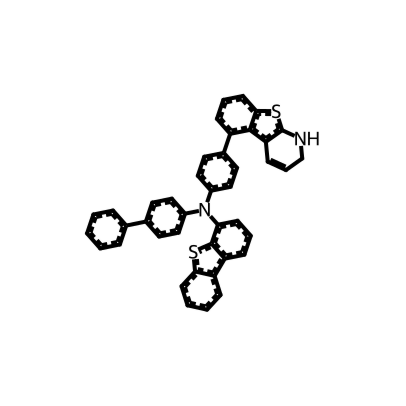 C1=Cc2c(sc3cccc(-c4ccc(N(c5ccc(-c6ccccc6)cc5)c5cccc6c5sc5ccccc56)cc4)c23)NC1